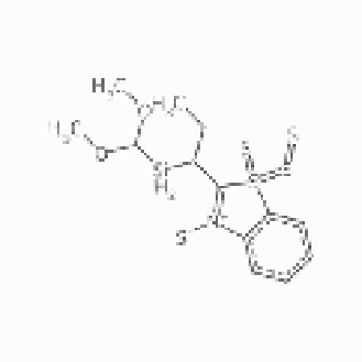 CCC([SiH2]C(OC)OC)C1=[N+]([S-])c2ccccc2S1(=S)=S=S